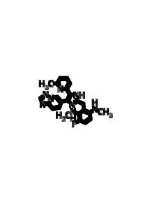 CNc1ccc(F)c(NC)c1Cc1nc(-c2ccc3ncnn3c2)c(-c2cccc(C)n2)[nH]1